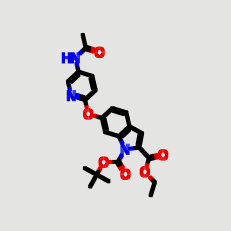 CCOC(=O)c1cc2ccc(Oc3ccc(NC(C)=O)cn3)cc2n1C(=O)OC(C)(C)C